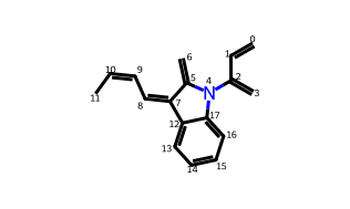 C=CC(=C)n1c(=C)/c(=C\C=C/C)c2ccccc21